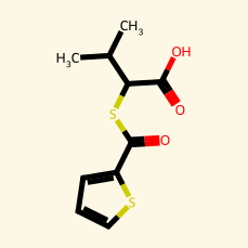 CC(C)C(SC(=O)c1cccs1)C(=O)O